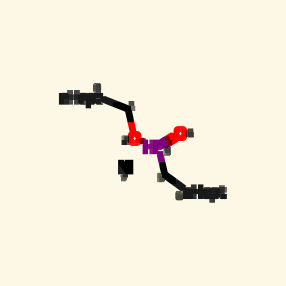 CCCCCCCCO[PH](=O)CCCCCCCC.[Ni]